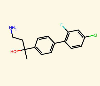 CC(O)(CCN)c1ccc(-c2ccc(Cl)cc2F)cc1